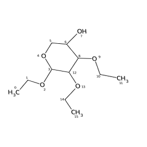 CCOC1OCC(O)C(OCC)C1OCC